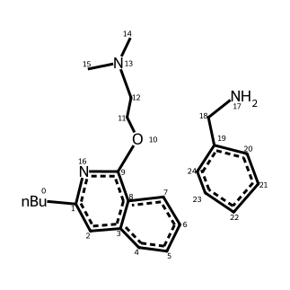 CCCCc1cc2ccccc2c(OCCN(C)C)n1.NCc1ccccc1